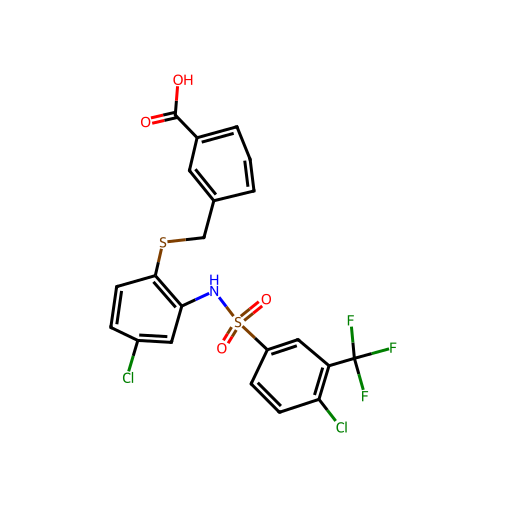 O=C(O)c1cccc(CSc2ccc(Cl)cc2NS(=O)(=O)c2ccc(Cl)c(C(F)(F)F)c2)c1